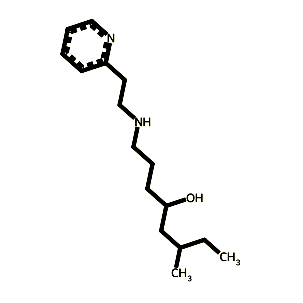 CCC(C)CC(O)CCCNCCc1ccccn1